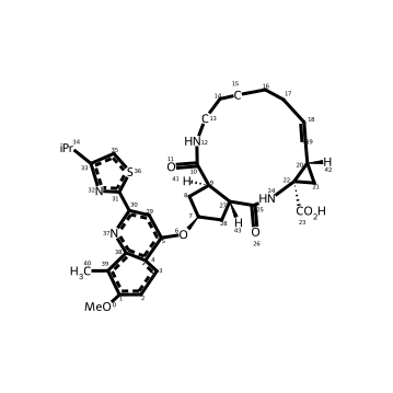 COc1ccc2c(O[C@H]3C[C@H]4C(=O)NCCCCC/C=C\[C@@H]5C[C@@]5(C(=O)O)NC(=O)[C@@H]4C3)cc(-c3nc(C(C)C)cs3)nc2c1C